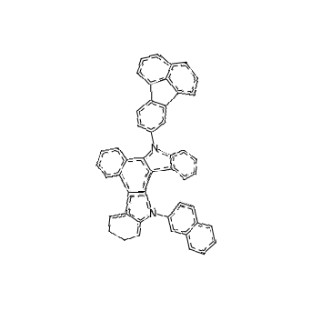 C1=c2c(n(-c3ccc4ccccc4c3)c3c2c2ccccc2c2c3c3ccccc3n2-c2ccc3c(c2)-c2cccc4cccc-3c24)=CCC1